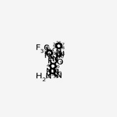 Nc1nc2cc(F)c(C(=O)N(Cc3ccc(C(F)(F)F)cn3)c3cnn(-c4ccccc4)c3)cc2n2cncc12